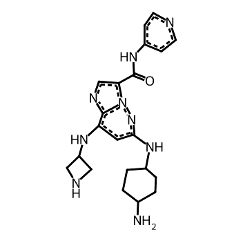 NC1CCC(Nc2cc(NC3CNC3)c3ncc(C(=O)Nc4ccncc4)n3n2)CC1